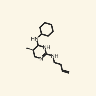 C=CCCNC1=NC[C@@H](C)C(NC2CCCCC2)N1